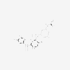 Cc1cc(Nc2ncc(Cl)c(NC3CCCC(NC(=O)O)C3)n2)sn1